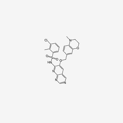 Cc1c(Cl)cccc1S(=O)(=O)Nc1nc2ncncc2cc1OCc1ccc2c(c1)OCCN2C